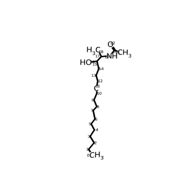 CCCCCCCCCCCCCCCC(O)C(C)NC(C)=O